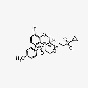 Cc1ccc(S(=O)(=O)[C@@]23CCO[C@@H](CCS(=O)(=O)C4CC4)[C@@H]2COc2c(F)ccc(F)c23)cc1